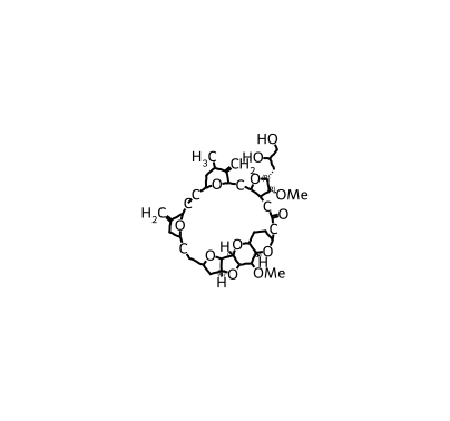 C=C1CC2CCC3C[C@H]4OC5C(OC)[C@H]6OC(CCC6O[C@H]5C4O3)CC(=O)CC3C(CC4OC(CCC1O2)CC(C)C4=C)O[C@H](CC(O)CO)[C@@H]3OC